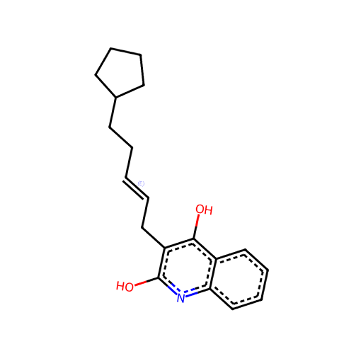 Oc1nc2ccccc2c(O)c1C/C=C/CCC1CCCC1